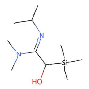 CC(C)N=C(C(O)[Si](C)(C)C)N(C)C